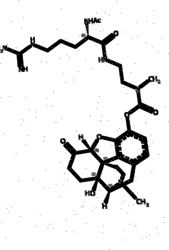 CC(=O)N[C@@H](CCCNC(=N)N)C(=O)NCCN(C)C(=O)Oc1ccc2c3c1O[C@H]1C(=O)CC[C@@]4(O)[C@@H](C2)N(C)CC[C@]314